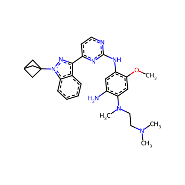 COc1cc(N(C)CCN(C)C)c(N)cc1Nc1nccc(-c2nn(C34CC(C3)C4)c3ccccc23)n1